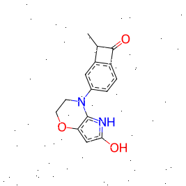 CC1C(=O)c2ccc(N3CCOc4cc(O)[nH]c43)cc21